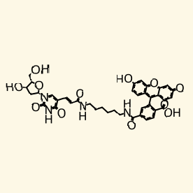 O=C(/C=C/c1cn([C@H]2C[C@@H](O)[C@@H](CO)O2)c(=O)[nH]c1=O)NCCCCCCNC(=O)c1ccc(C(=O)O)c(-c2c3ccc(=O)cc-3oc3cc(O)ccc23)c1